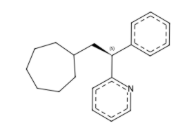 c1ccc([C@H](CC2CCCCCC2)c2ccccn2)cc1